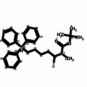 CN(C(=O)OC(C)(C)C)C(I)CCCC[PH](c1ccccc1)(c1ccccc1)c1ccccc1